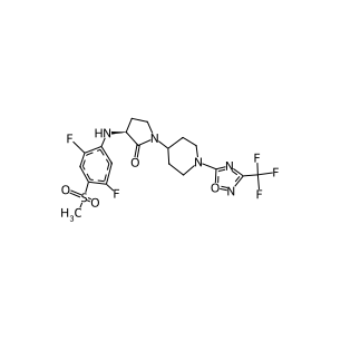 CS(=O)(=O)c1cc(F)c(N[C@H]2CCN(C3CCN(c4nc(C(F)(F)F)no4)CC3)C2=O)cc1F